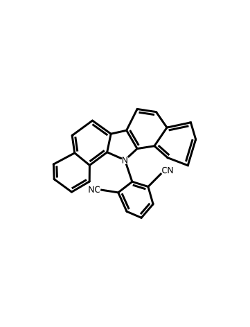 N#Cc1cccc(C#N)c1-n1c2c3ccccc3ccc2c2ccc3ccccc3c21